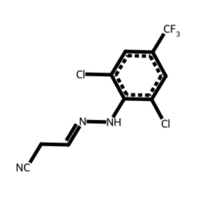 N#CCC=NNc1c(Cl)cc(C(F)(F)F)cc1Cl